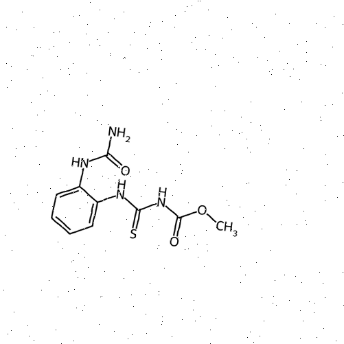 COC(=O)NC(=S)Nc1ccccc1NC(N)=O